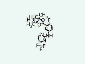 CC1(C)OB(c2cc(Nc3nccc(C(F)(F)F)n3)ccc2F)OC1(C)C